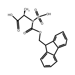 C[C@H](C(=O)O)N(C(=O)OCC1c2ccccc2-c2ccccc21)S(=O)(=O)O